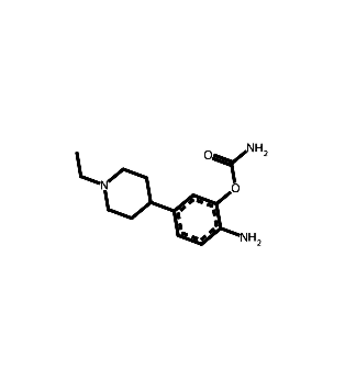 CCN1CCC(c2ccc(N)c(OC(N)=O)c2)CC1